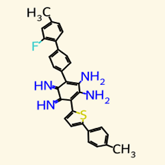 Cc1ccc(-c2ccc(C3=C(N)C(N)=C(c4ccc(-c5ccc(C)cc5F)cc4)C(=N)C3=N)s2)cc1